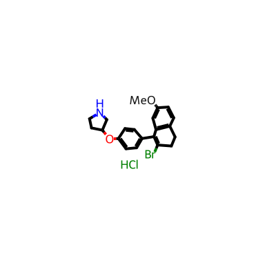 COc1ccc2c(c1)C(c1ccc(OC3CCNC3)cc1)=C(Br)CC2.Cl